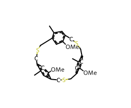 COc1cc2c(C)cc1CSCc1cc(OC)c(cc1C)CSCc1cc(C)c(cc1OC)CSC2